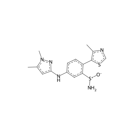 Cc1ncsc1-c1ccc(Nc2cc(C)n(C)n2)cc1[S+](N)[O-]